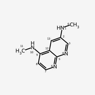 CNc1cnc2nccc(NC)c2c1